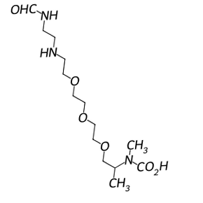 CC(COCCOCCOCCNCCNC=O)N(C)C(=O)O